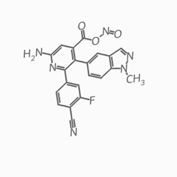 Cn1ncc2cc(-c3c(C(=O)ON=O)cc(N)nc3-c3ccc(C#N)c(F)c3)ccc21